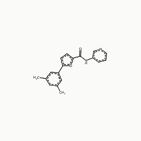 Cc1cc(C)cc(-c2ccc(C(=O)Nc3cccnc3)o2)c1